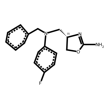 NC1=N[C@@H](CN(Cc2ccccc2)c2ccc(F)cc2)CO1